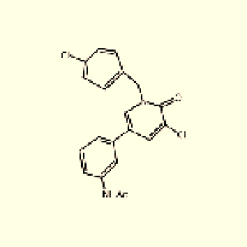 CC(=O)Nc1cccc(-c2cc(Cl)c(=O)n(Cc3ccc(Cl)cc3)c2)c1